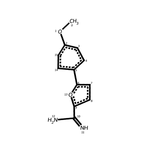 COc1ccc(-c2ccc(C(=N)N)o2)cc1